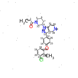 C=CC(=O)N1CCC[C@@H](n2nc(-c3ccc(Oc4cccc(Cl)c4C)cc3)c3cnccc32)C1